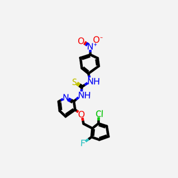 O=[N+]([O-])c1ccc(NC(=S)Nc2ncccc2OCc2c(F)cccc2Cl)cc1